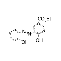 CCOC(=O)c1ccc(O)c(N=Nc2ccccc2O)c1